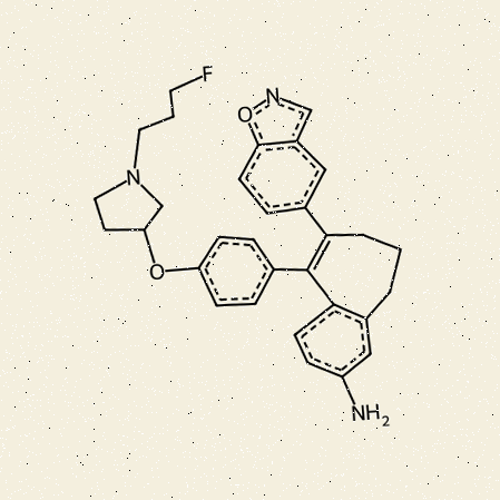 Nc1ccc2c(c1)CCCC(c1ccc3oncc3c1)=C2c1ccc(OC2CCN(CCCF)C2)cc1